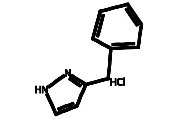 Cl.c1ccc(Cc2cc[nH]n2)cc1